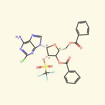 Nc1nc(Cl)nc2c1ncn2[C@@H]1O[C@H](COC(=O)c2ccccc2)C(OC(=O)c2ccccc2)[C@@H]1OS(=O)(=O)C(F)(F)F